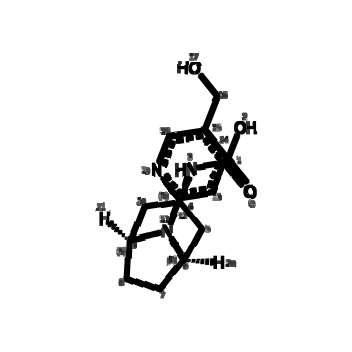 O=C(O)N[C@H]1C[C@H]2CC[C@@H](C1)N2c1ccc(CO)cn1